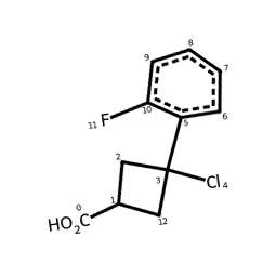 O=C(O)C1CC(Cl)(c2ccccc2F)C1